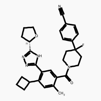 Cc1cc(C2CCC2)c(-c2nnc([C@@H]3CCCO3)[nH]2)cc1C(=O)N1CCC(F)(c2ccc(C#N)cc2)CC1